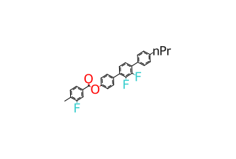 CCCc1ccc(-c2ccc(-c3ccc(OC(=O)c4ccc(C)c(F)c4)cc3)c(F)c2F)cc1